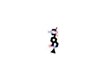 C[C@@H]1CNC[C@](C)(c2ccc3c(=O)n(C4CC4)ccc3c2)O1